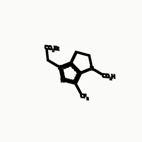 CCOC(=O)Cn1nc(C(F)(F)F)c2c1CCN2C(=O)O